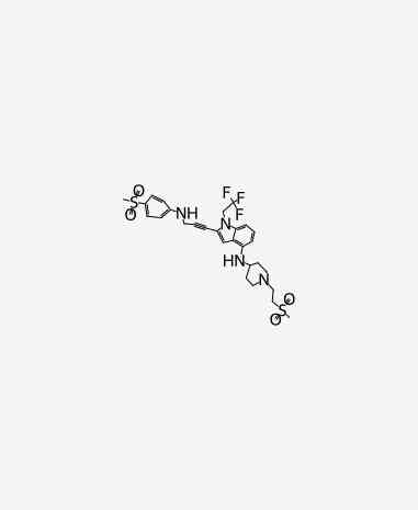 CS(=O)(=O)CCN1CCC(Nc2cccc3c2cc(C#CCNc2ccc(S(C)(=O)=O)cc2)n3CC(F)(F)F)CC1